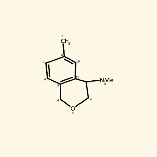 CNC1COCc2ccc(C(F)(F)F)cc21